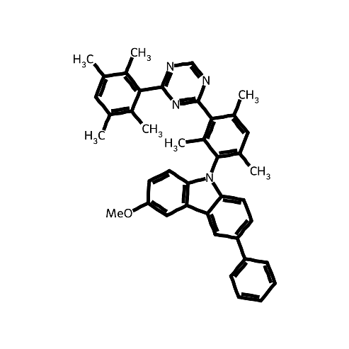 COc1ccc2c(c1)c1cc(-c3ccccc3)ccc1n2-c1c(C)cc(C)c(-c2ncnc(-c3c(C)c(C)cc(C)c3C)n2)c1C